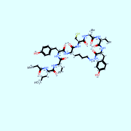 CC[C@H](C)[C@H](NC(=O)[C@H](CS)NC(=O)[C@H](CCCCN)NC(=O)[C@H](Cc1ccc(O)cc1)NC(=O)[C@H](CC(C)C)NC(=O)[C@H](CCC(=O)O)NC(=O)CNC)C(=O)N[C@@H](CC(C)C)C(=O)N[C@@H](Cc1ccc(O)cc1)C(N)=O